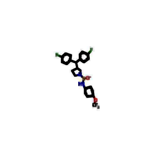 [O-][S+](Nc1ccc(OC(F)(F)F)cc1)N1CCC(C(c2ccc(F)cc2)c2ccc(F)cc2)C1